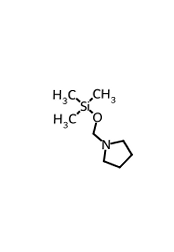 C[Si](C)(C)OCN1CCCC1